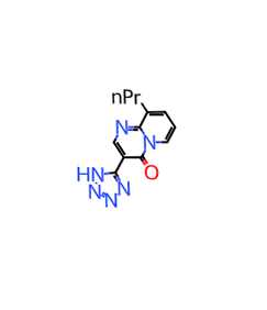 CCCc1cccn2c(=O)c(-c3nnn[nH]3)cnc12